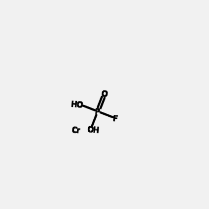 O=P(O)(O)F.[Cr]